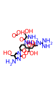 N=C(N)NC[C@H](O)C[C@](O)(C(=O)O)[C@H]1O[C@@H](n2cc(CO)c(N)nc2=O)C=C[C@@H]1NC(=O)[C@@H](N)CO.O=CO